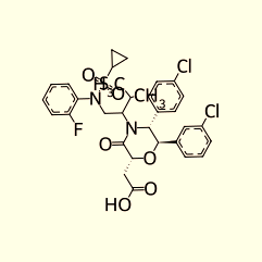 CC(C)C(CN(c1ccccc1F)S(=O)(=O)C1CC1)N1C(=O)[C@@H](CC(=O)O)O[C@H](c2cccc(Cl)c2)[C@H]1c1ccc(Cl)cc1